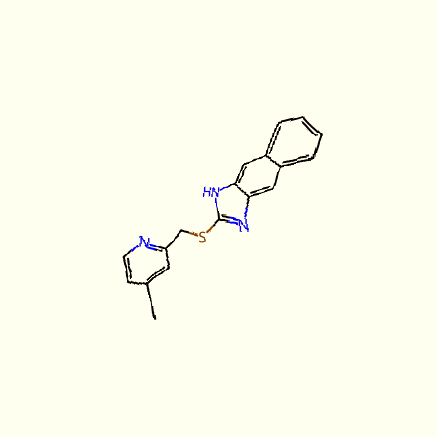 Cc1ccnc(CSc2nc3cc4ccccc4cc3[nH]2)c1